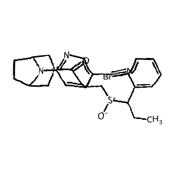 CCC(c1ccccc1Br)[S+]([O-])CCC(=O)N1CC2CCC(C1)N2c1ccc(C#N)cn1